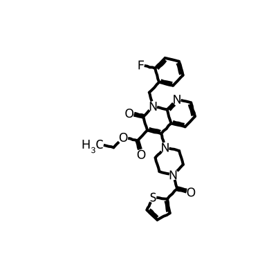 CCOC(=O)c1c(N2CCN(C(=O)c3cccs3)CC2)c2cccnc2n(Cc2ccccc2F)c1=O